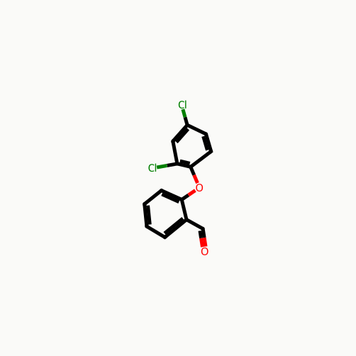 O=Cc1ccccc1Oc1ccc(Cl)cc1Cl